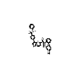 O=C(Nc1ccccc1)c1ccc(-c2cnn3ccc(C(=O)Nc4ccccc4N4CCNCC4)nc23)cc1